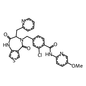 COc1ccc(NC(=O)c2ccc(CN3C(=O)c4cscc4NC(=O)C3Cc3ccccn3)cc2Cl)nc1